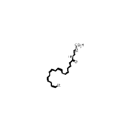 CC/C=C\C/C=C\C/C=C\C/C=C\C/C=C\CCCC(=O)NCCNC(=O)O